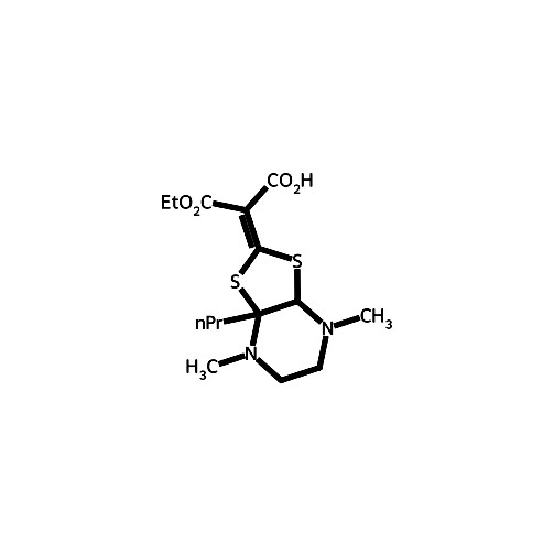 CCCC12SC(=C(C(=O)O)C(=O)OCC)SC1N(C)CCN2C